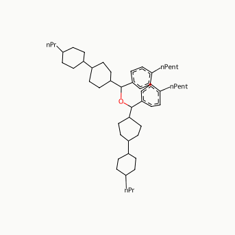 CCCCCc1ccc(C(OC(c2ccc(CCCCC)cc2)C2CCC(C3CCC(CCC)CC3)CC2)C2CCC(C3CCC(CCC)CC3)CC2)cc1